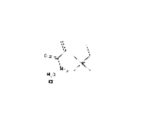 C=CC(N)=O.CC[N+](C)(C)C.O.[Cl-]